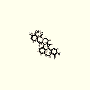 O=C1c2c(O)c(=O)ccn2N[C@@H]2C(c3cccc4c3Cc3ccc(F)c(F)c3CS4)C3(CCN12)CC3